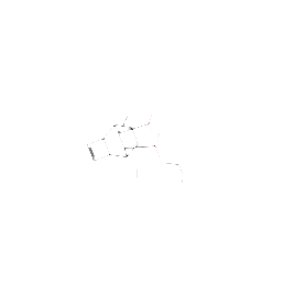 CCOC(=O)C1[C@H]2CC[C@H](C3C=CC32)[C@@H]1C(=O)O